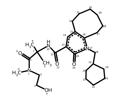 CN(CCO)C(=O)C(C)(C)NC(=O)c1cc2c(n(CC3CCCCC3)c1=O)CCCCCC2